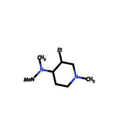 CCC1CN(C)CCC1N(C)NC